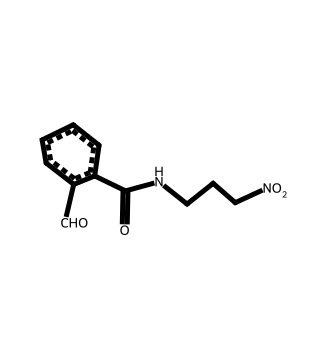 O=Cc1ccccc1C(=O)NCCC[N+](=O)[O-]